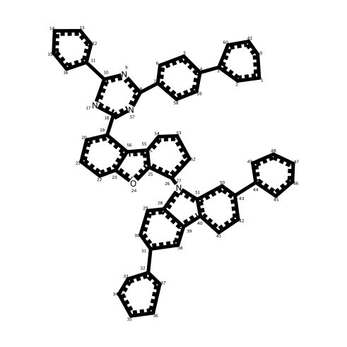 c1ccc(-c2ccc(-c3nc(-c4ccccc4)nc(-c4cccc5oc6c(-n7c8ccc(-c9ccccc9)cc8c8ccc(-c9ccccc9)cc87)cccc6c45)n3)cc2)cc1